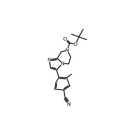 Cc1cc(C#N)ccc1-c1cnc2n1CCN(C(=O)OC(C)(C)C)C2